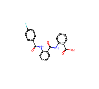 O=C(Nc1ccccc1C(=O)Nc1ccccc1C(=O)O)c1ccc(F)cc1